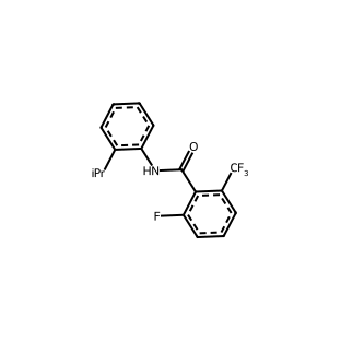 CC(C)c1ccccc1NC(=O)c1c(F)cccc1C(F)(F)F